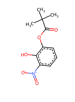 CC(C)(C)C(=O)Oc1cccc([N+](=O)[O-])c1O